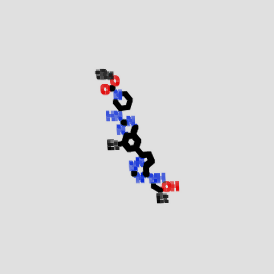 CCc1cc(-c2ccc3c(NC[C@H](O)CC)ncnn23)cc2cnc(N[C@H]3CCCN(C(=O)OC(C)(C)C)C3)nc12